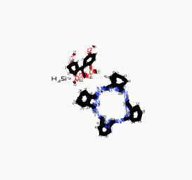 COc1ccc(OC)c(C(C(=O)O)c2cc(OC)ccc2OC)c1.[SiH4].c1ccc2c(c1)-c1nc-2nc2[nH]c(nc3nc(nc4[nH]c(n1)c1ccccc41)-c1ccccc1-3)c1ccccc21